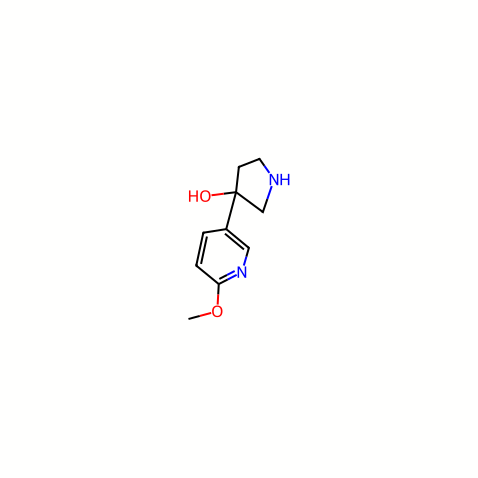 COc1ccc(C2(O)CCNC2)cn1